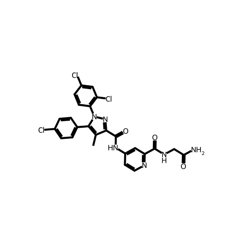 Cc1c(C(=O)Nc2ccnc(C(=O)NCC(N)=O)c2)nn(-c2ccc(Cl)cc2Cl)c1-c1ccc(Cl)cc1